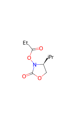 CCC(=O)ON1C(=O)OC[C@@H]1C(C)C